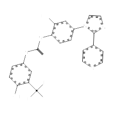 Cc1cc(-n2ccnc2-c2ccncc2)ccc1NC(=O)Nc1ccc(C)c(C(F)(F)F)c1